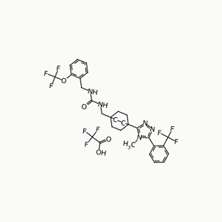 Cn1c(-c2ccccc2C(F)(F)F)nnc1C12CCC(CNC(=O)NCc3ccccc3OC(F)(F)F)(CC1)CC2.O=C(O)C(F)(F)F